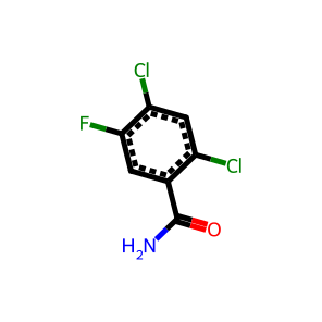 NC(=O)c1cc(F)c(Cl)cc1Cl